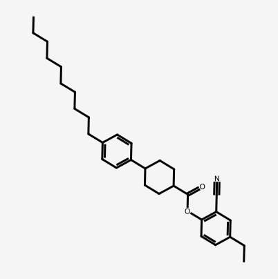 CCCCCCCCCCc1ccc(C2CCC(C(=O)Oc3ccc(CC)cc3C#N)CC2)cc1